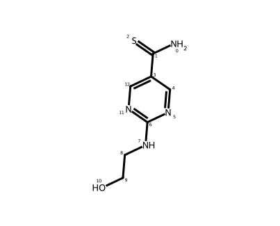 NC(=S)c1cnc(NCCO)nc1